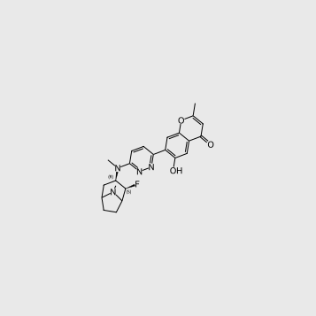 Cc1cc(=O)c2cc(O)c(-c3ccc(N(C)[C@@H]4CC5CCC([C@@H]4F)N5C)nn3)cc2o1